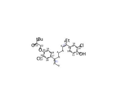 C/C=C(\CCC/C=C(/CC)c1ccc(O)c(Cl)c1)c1ccc(OCC(=O)C(C)(C)C)c(Cl)c1